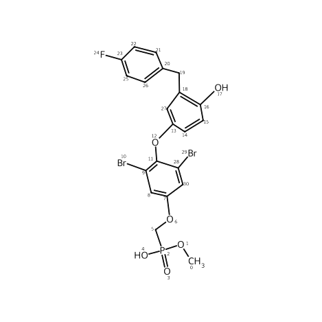 COP(=O)(O)COc1cc(Br)c(Oc2ccc(O)c(Cc3ccc(F)cc3)c2)c(Br)c1